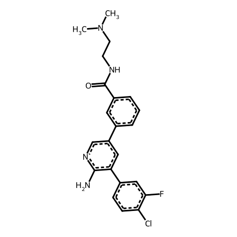 CN(C)CCNC(=O)c1cccc(-c2cnc(N)c(-c3ccc(Cl)c(F)c3)c2)c1